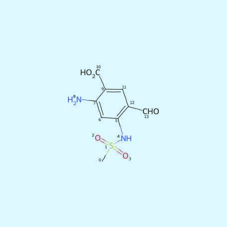 CS(=O)(=O)Nc1cc(N)c(C(=O)O)cc1C=O